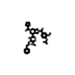 CNC(=O)[C@H](CCCc1ccccc1)NC(=O)C1CN(C(=O)c2cncs2)CC2CN(C(=O)c3ccc(OC(C)C)c(OC)c3)CC21